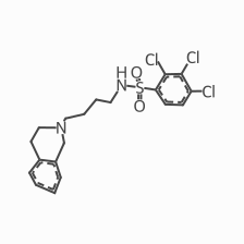 O=S(=O)(NCCCCN1CCc2ccccc2C1)c1ccc(Cl)c(Cl)c1Cl